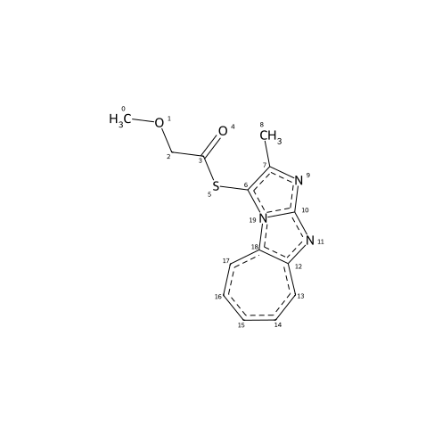 COCC(=O)Sc1c(C)nc2nc3cccccc3n12